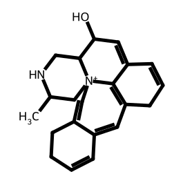 CC1C[N+]23C=C4CCC=CC4=CC4=C2C(=CC(O)C3CN1)C=CC4